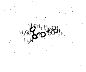 COc1cc(=O)n(C)cc1-c1cc(N)ccc1CN1CCCC(NC(=O)OC(C)(C)C)C1